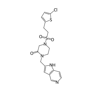 O=C1CN(S(=O)(=O)CCc2ccc(Cl)s2)CCN1Cc1cc2cnccc2[nH]1